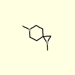 CN1CC12CCN(I)CC2